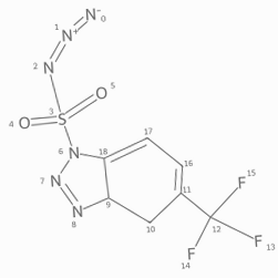 [N-]=[N+]=NS(=O)(=O)N1N=NC2CC(C(F)(F)F)=CC=C21